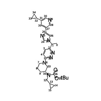 CC(c1ccc(N2CCC[C@@H](N(CC3CC3)C(=O)OC(C)(C)C)C2)nn1)n1cnc(-c2cncc(C3CC3)c2)c1